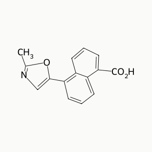 Cc1ncc(-c2cccc3c(C(=O)O)cccc23)o1